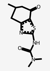 CC1CC(=O)c2sc(NC(=O)N(C)C)nc2C1